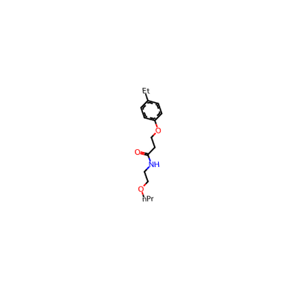 CCCOCCNC(=O)CCOc1ccc(CC)cc1